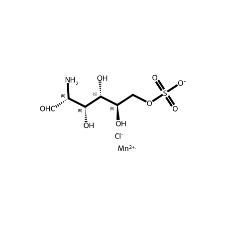 N[C@@H](C=O)[C@@H](O)[C@H](O)[C@H](O)COS(=O)(=O)[O-].[Cl-].[Mn+2]